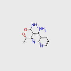 CC(=O)c1nc2ncccc2c(N)c1C(N)=O